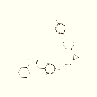 Cc1cnc(N2CCC([C@H]3C[C@H]3CCOc3ccc(CC(=O)N(C)C4CCCCC4)c(F)c3)CC2)nc1